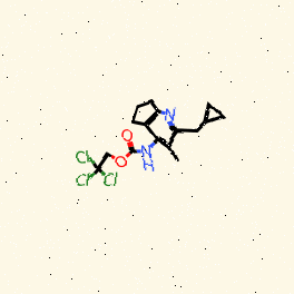 Cc1c(CC2CC2)nc2c(c1NC(=O)OCC(Cl)(Cl)Cl)CCC2